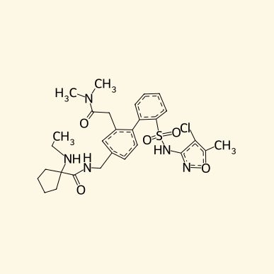 CCNC1(C(=O)NCc2ccc(-c3ccccc3S(=O)(=O)Nc3noc(C)c3Cl)c(CC(=O)N(C)C)c2)CCCC1